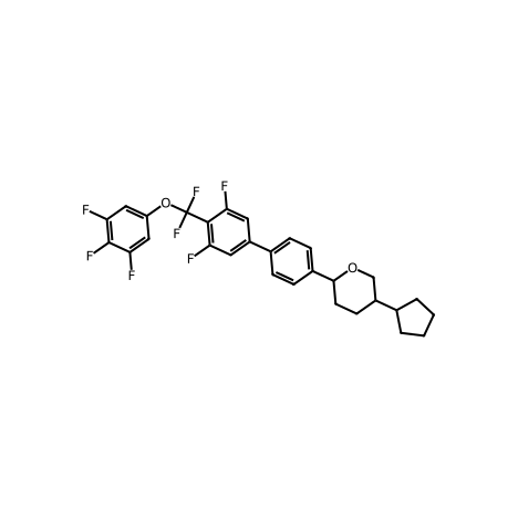 Fc1cc(OC(F)(F)c2c(F)cc(-c3ccc(C4CCC(C5CCCC5)CO4)cc3)cc2F)cc(F)c1F